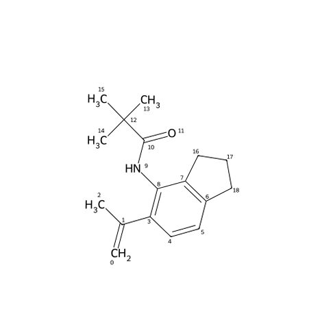 C=C(C)c1ccc2c(c1NC(=O)C(C)(C)C)CCC2